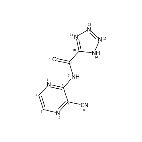 N#Cc1nccnc1NC(=O)c1nnn[nH]1